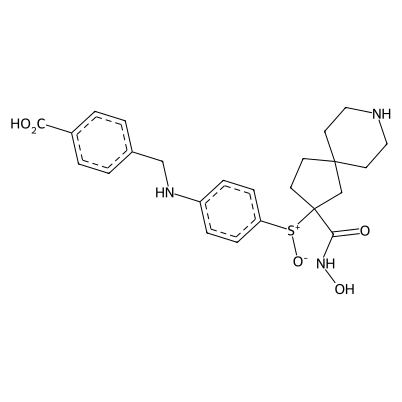 O=C(O)c1ccc(CNc2ccc([S+]([O-])C3(C(=O)NO)CCC4(CCNCC4)C3)cc2)cc1